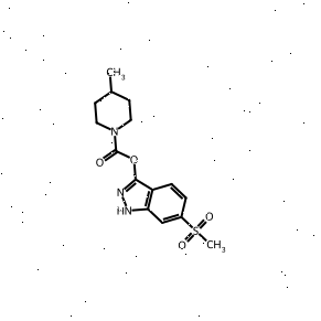 CC1CCN(C(=O)Oc2n[nH]c3cc(S(C)(=O)=O)ccc23)CC1